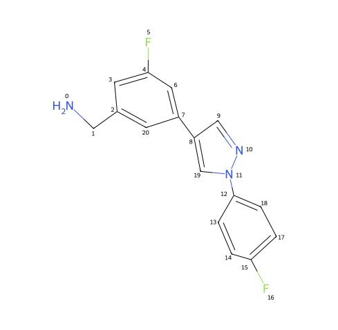 NCc1cc(F)cc(-c2cnn(-c3ccc(F)cc3)c2)c1